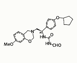 COc1ccc2c(c1)OCN(C[C@H](NC(=O)NC=O)c1ccc(OC3CCCC3)cc1)C2